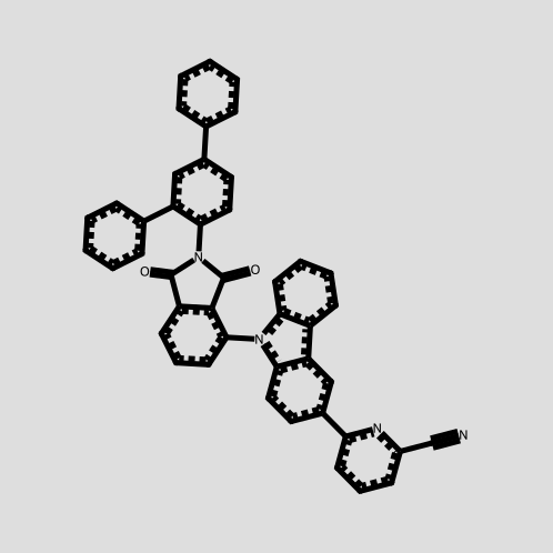 N#Cc1cccc(-c2ccc3c(c2)c2ccccc2n3-c2cccc3c2C(=O)N(c2ccc(-c4ccccc4)cc2-c2ccccc2)C3=O)n1